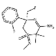 CN=S1(=O)C[C@@](CF)(c2ccccc2F)N=C(N)C1(C)C